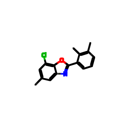 Cc1cc(Cl)c2oc(-c3cccc(C)c3C)nc2c1